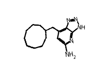 Nc1cc(CC2CCCCCCCC2)c2nn[nH]c2n1